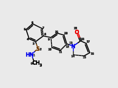 CNSc1ccccc1-c1ccc(N2CCC=CC2=O)cc1